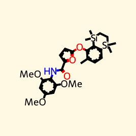 COc1cc(OC)c(NC(=O)c2ccc(Oc3c(C)ccc4c3[Si](C)(C)CC[Si]4(C)C)o2)c(OC)c1